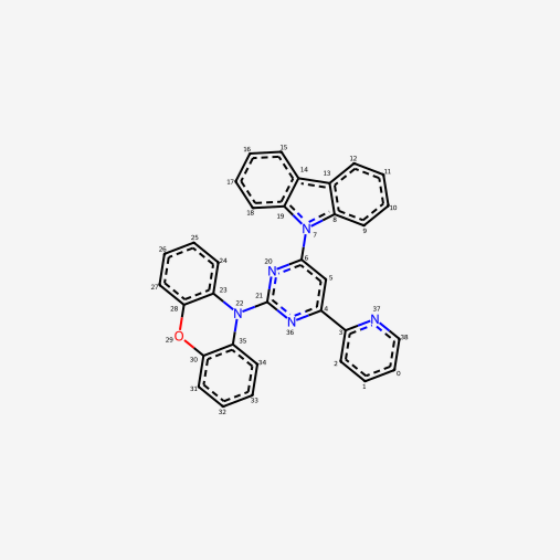 c1ccc(-c2cc(-n3c4ccccc4c4ccccc43)nc(N3c4ccccc4Oc4ccccc43)n2)nc1